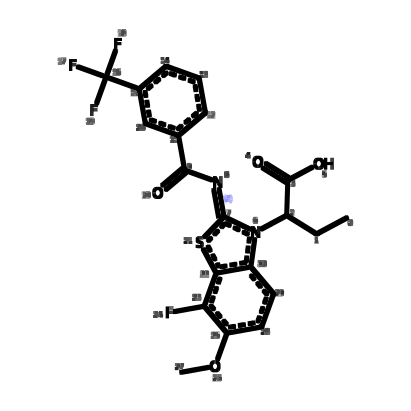 CCC(C(=O)O)n1/c(=N/C(=O)c2cccc(C(F)(F)F)c2)sc2c(F)c(OC)ccc21